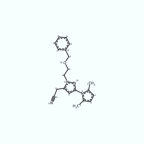 Cc1ccc(C)n1-c1cc(CC#N)n(CCOCc2ccccc2)n1